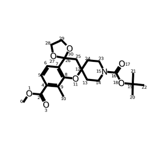 COC(=O)c1ccc2c(c1C)OC1(CCN(C(=O)OC(C)(C)C)CC1)CC21OCCO1